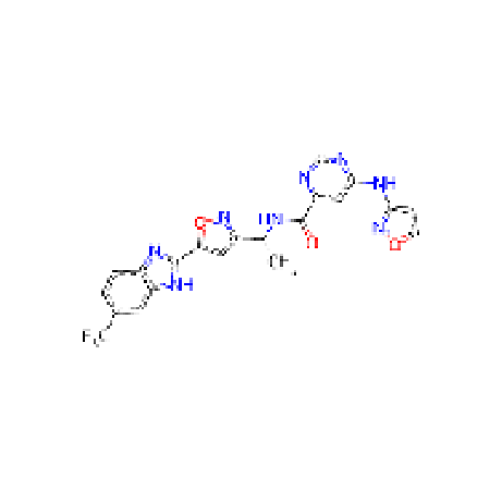 C[C@@H](NC(=O)c1cc(Nc2ccon2)ncn1)c1cc(-c2nc3ccc(C(F)(F)F)cc3[nH]2)on1